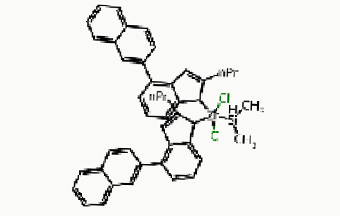 CCCC1=Cc2c(-c3ccc4ccccc4c3)cccc2[CH]1[Zr]([Cl])([Cl])([CH]1C(CCC)=Cc2c(-c3ccc4ccccc4c3)cccc21)[SiH](C)C